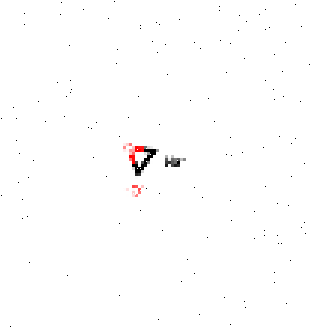 C1CO1.[Na+].[OH-]